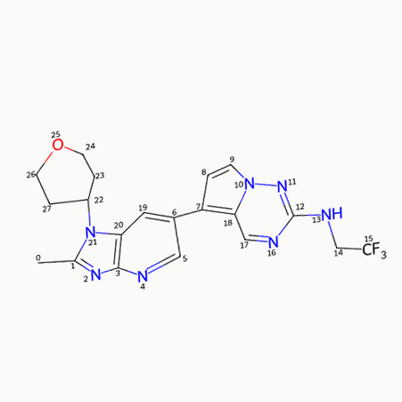 Cc1nc2ncc(-c3ccn4nc(NCC(F)(F)F)ncc34)cc2n1C1CCOCC1